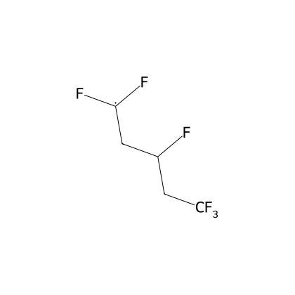 F[C](F)CC(F)CC(F)(F)F